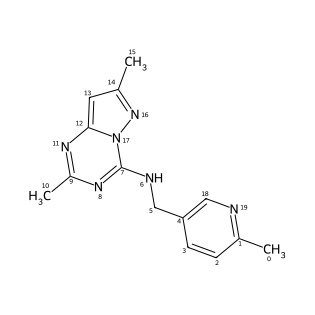 Cc1ccc(CNc2nc(C)nc3cc(C)nn23)cn1